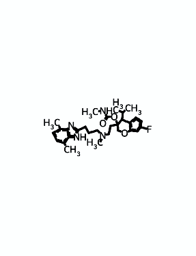 CNC(=O)OC1(CCN(C)CCCc2nc3c(C)ccc(C)c3[nH]2)COc2cc(F)ccc2C1C(C)C